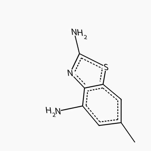 Cc1cc(N)c2nc(N)sc2c1